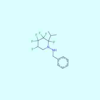 CC(C)C1(F)N(NCc2ccccc2)CC(F)C(F)(F)C1(F)F